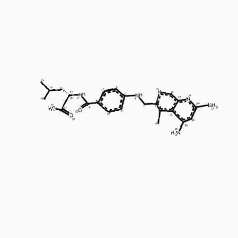 Cc1c(CNc2ccc(C(=O)N[C@@H](CC(C)C)C(=O)O)cc2)ncc2nc(N)cc(N)c12